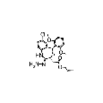 C=CCOC(=O)C[C@H]1S[C@H](c2c(OC)cccc2OC)c2cc(Cl)ccc2N/C1=N\N